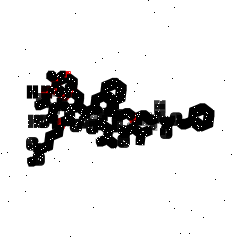 COC(=O)CCCCC(=O)N(C(Cc1ccccc1)C(O)C(Cc1ccccc1)N(C(=O)CCCCCNC(=O)OCc1ccccc1)C(=O)[C@@H](NC(=O)[C@@H](N)C(C)C)C(C)C)N(C(=O)[C@@H](N)C(C)C)[C@H](C(=O)O)C(C)C